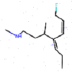 CC/C=C(\C=C/CF)C(C)CCNC